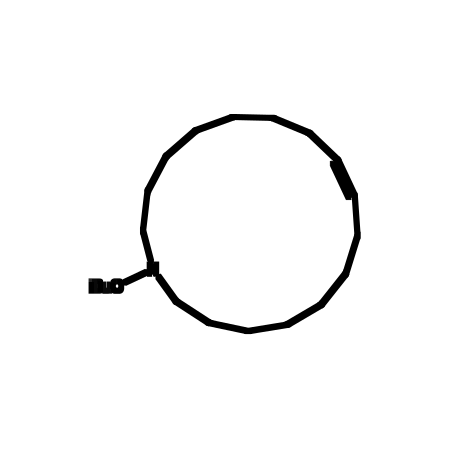 CC(C)CON1CCCCCCC/C=C\CCCCCCC1